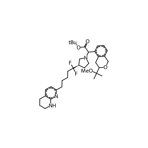 COC(C)(C)C1Cc2c(cccc2C(C(=O)OC(C)(C)C)N2CC[C@@H](C(F)(F)CCCCc3ccc4c(n3)NCCC4)C2)CO1